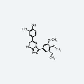 COc1cc(-c2nnc3n2N=C(c2ccc(O)c(O)c2)CN3)cc(OC)c1OC